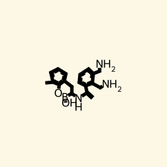 C=C(NC1Cc2cccc(C)c2OB1O)c1cccc(CN)c1CN